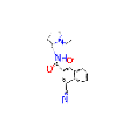 CCN1CCCC1CNC(=O)c1cc(C#N)c2ccccc2c1OC